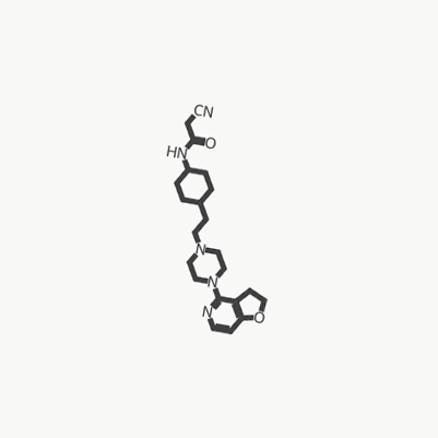 N#CCC(=O)NC1CCC(CCN2CCN(c3nccc4c3CCO4)CC2)CC1